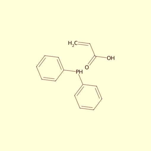 C=CC(=O)O.c1ccc(Pc2ccccc2)cc1